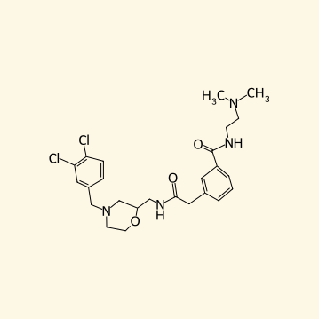 CN(C)CCNC(=O)c1cccc(CC(=O)NCC2CN(Cc3ccc(Cl)c(Cl)c3)CCO2)c1